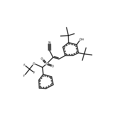 CC(C)(C)c1cc(/C=C(\C#N)S(=O)(=O)C(OC(F)(F)F)c2ccccc2)cc(C(C)(C)C)c1O